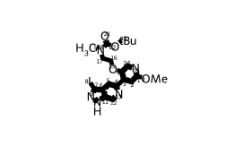 COc1cc(-c2cc3c(I)n[nH]c3cn2)c(OCCN(C)C(=O)OC(C)(C)C)cn1